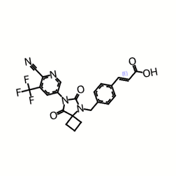 N#Cc1ncc(N2C(=O)N(Cc3ccc(/C=C/C(=O)O)cc3)C3(CCC3)C2=O)cc1C(F)(F)F